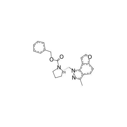 Cc1nn(C[C@@H]2CCCN2C(=O)OCc2ccccc2)c2c1ccc1occc12